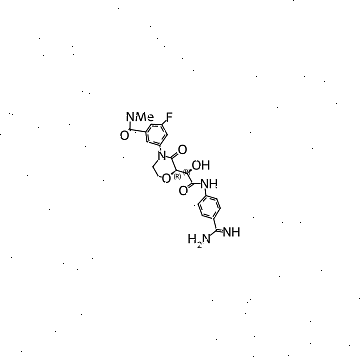 CNC(=O)c1cc(F)cc(N2CCO[C@H]([C@@H](O)C(=O)Nc3ccc(C(=N)N)cc3)C2=O)c1